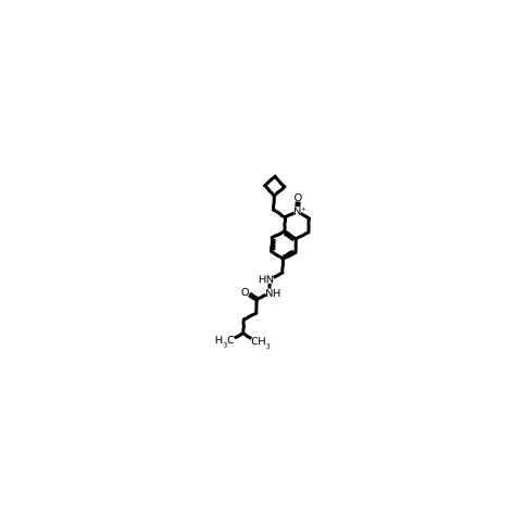 CC(C)CCC(=O)NNCc1ccc2c(c1)CC[N+](=O)C2CC1CCC1